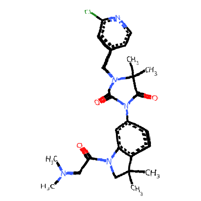 CN(C)CC(=O)N1CC(C)(C)c2ccc(N3C(=O)N(Cc4ccnc(Cl)c4)C(C)(C)C3=O)cc21